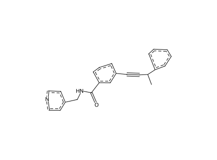 CC(C#Cc1cccc(C(=O)NCc2ccncc2)c1)c1ccccc1